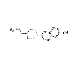 C=CCC1CCC(c2ccc3cc(O)ccc3c2)CC1